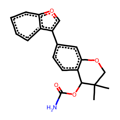 CC1(C)COc2cc(-c3coc4ccccc34)ccc2C1OC(N)=O